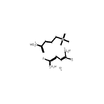 C=C(CCC[N+](C)(C)C)C(=O)O.CCC(=CC=C(CC)C(=O)O)C(=O)O.[Cl-]